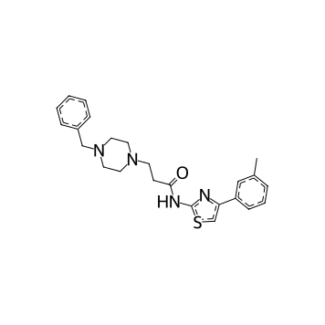 Cc1cccc(-c2csc(NC(=O)CCN3CCN(Cc4ccccc4)CC3)n2)c1